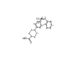 CCCCC(=O)C1CCC(c2cc(-c3ccccc3OC)c(C(=O)O)nn2)CC1